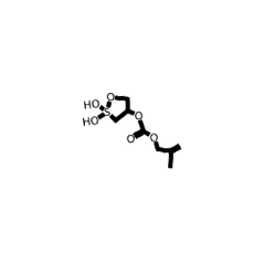 C=C(C)COC(=O)OC1COS(O)(O)C1